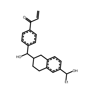 C=CC(=O)c1ccc(C(O)C2CCc3cc(C(O)CC)ccc3C2)cc1